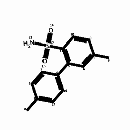 Cc1ccc(-c2cc(C)ccc2S(N)(=O)=O)cc1